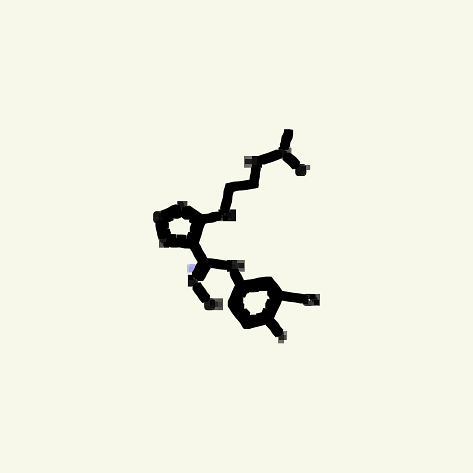 C[S+]([O-])NCCNc1nonc1/C(=N/O)Nc1ccc(F)c(C#N)c1